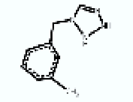 Cc1cccc(CN2C=NNN2)c1